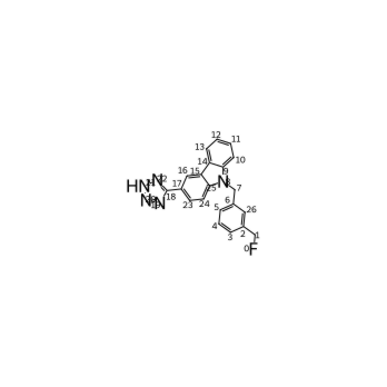 FCc1cccc(Cn2c3ccccc3c3cc(-c4nn[nH]n4)ccc32)c1